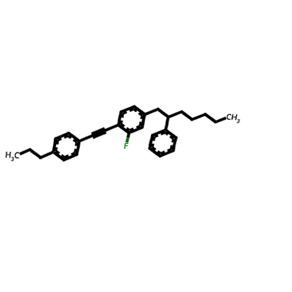 CCCCCC(Cc1ccc(C#Cc2ccc(CCC)cc2)c(F)c1)c1ccccc1